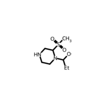 CCC([O])N1CCNCC1S(C)(=O)=O